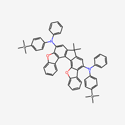 CC1(C)c2cc(N(c3ccccc3)c3ccc([Si](C)(C)C)cc3)c3c(oc4ccccc43)c2-c2c1cc(N(c1ccccc1)c1ccc([Si](C)(C)C)cc1)c1oc3ccccc3c21